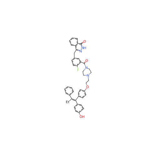 CCC(=C(c1ccc(O)cc1)c1ccc(OCCN2CCN(C(=O)c3cc(Cc4n[nH]c(=O)c5ccccc45)ccc3F)CC2)cc1)c1ccccc1